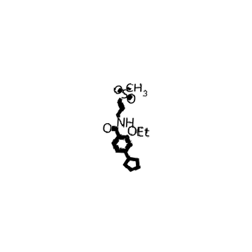 CCOc1cc(C2CCCC2)ccc1C(=O)NC/C=C/S(C)(=O)=O